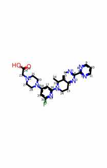 C=C1/C(=N\C(=N/C)c2ncccn2)CCN(c2cc(N3CCN(CC(=O)O)CC3)cc(F)n2)C1C